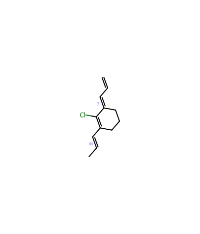 C=C/C=C1\CCCC(/C=C/C)=C1Cl